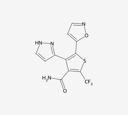 NC(=O)c1c(C(F)(F)F)sc(-c2ccno2)c1-c1cc[nH]n1